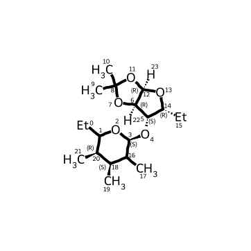 CCC1O[C@@H](O[C@@H]2[C@H]3OC(C)(C)O[C@H]3O[C@@H]2CC)C(C)[C@@H](C)[C@H]1C